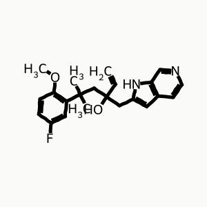 C=CC(O)(Cc1cc2ccncc2[nH]1)CC(C)(C)c1cc(F)ccc1OC